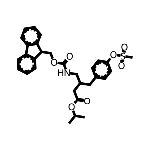 CC(C)OC(=O)CC(CNC(=O)OCC1c2ccccc2-c2ccccc21)Cc1ccc(OS(C)(=O)=O)cc1